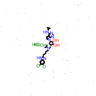 CC(C)N(CCCCc1nc2cc(Cl)c(Cl)cc2[nH]1)C[C@H]1C[C@@H](n2ccc3c(NC4CC4)ncnc32)[C@@H](O)[C@@H]1O.Cl.Cl.Cl